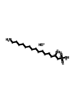 Cl.NCCCCCCCCCCCCCC(O)CS(=O)(=O)O